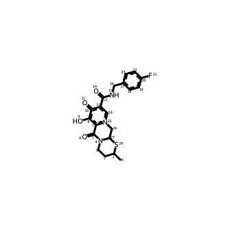 CC1CCN2C(=O)c3c(O)c(=O)c(C(=O)NCc4ccc(F)cc4)cn3CC2S1